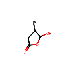 CC(C)C1CC(=O)OC1O